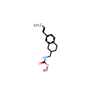 CCOC(=O)C=Cc1ccc2c(c1)CC(CNC(=O)OC(C)(C)C)CC2